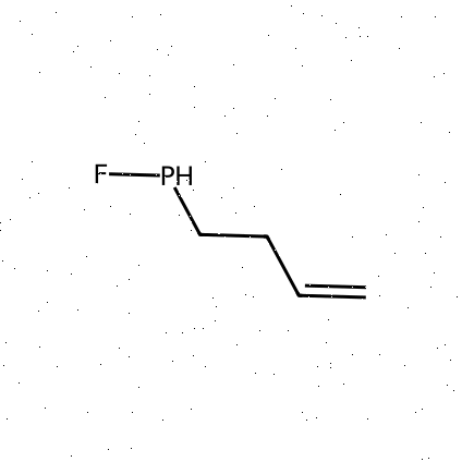 C=CCCPF